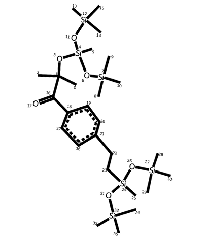 CC(C)(O[Si](C)(O[Si](C)(C)C)O[Si](C)(C)C)C(=O)c1ccc(CC[Si](C)(O[Si](C)(C)C)O[Si](C)(C)C)cc1